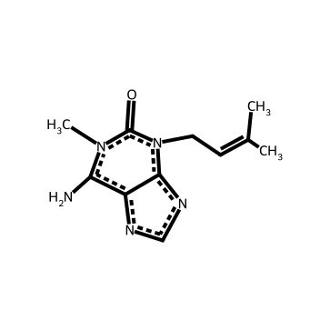 CC(C)=CCn1c2ncnc-2c(N)n(C)c1=O